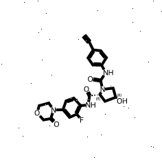 C#Cc1ccc(NC(=O)N2C[C@H](O)C[C@@H]2C(=O)Nc2ccc(N3CCOCC3=O)cc2F)cc1